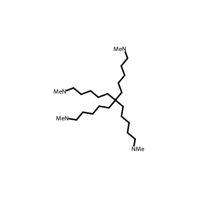 CNCCCCCC(CCCCCNC)(CCCCCNC)CCCCCNC